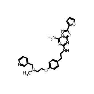 CN(CCOc1ccc(CCNc2nc(N)n3nc(-c4ccco4)nc3n2)cc1)Cc1cccnc1